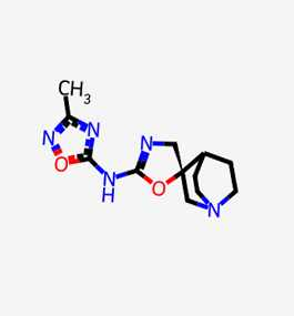 Cc1noc(NC2=NC[C@@]3(CN4CCC3CC4)O2)n1